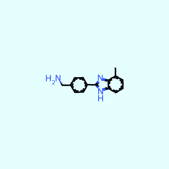 Cc1cccc2[nH]c(-c3ccc(CN)cc3)nc12